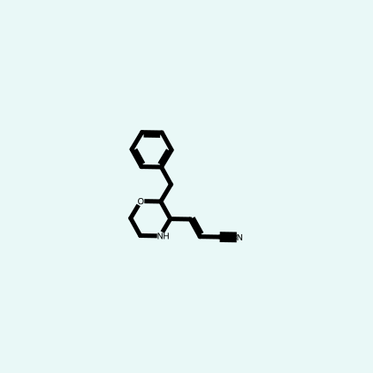 N#CC=CC1NCCOC1Cc1ccccc1